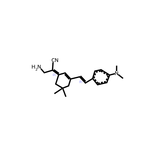 CN(C)c1ccc(/C=C/C2=CC(=C(\C#N)CN)/CC(C)(C)C2)cc1